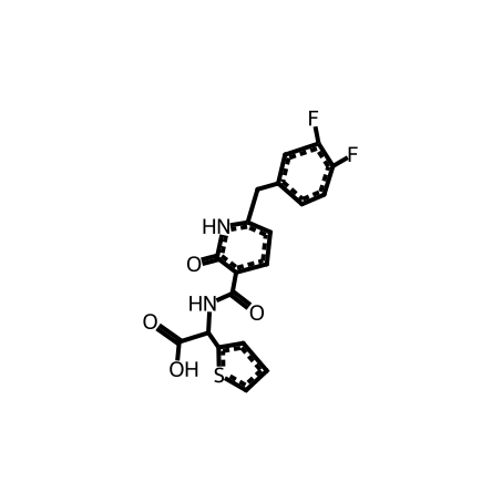 O=C(NC(C(=O)O)c1cccs1)c1ccc(Cc2ccc(F)c(F)c2)[nH]c1=O